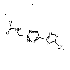 CCC(=O)NCc1ncc(-c2noc(C(F)(F)F)n2)cn1